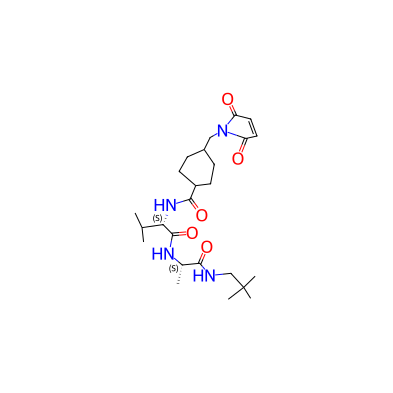 CC(C)[C@H](NC(=O)C1CCC(CN2C(=O)C=CC2=O)CC1)C(=O)N[C@@H](C)C(=O)NCC(C)(C)C